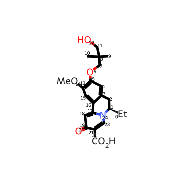 CC[C@@H]1Cc2cc(OCC(C)(C)CO)c(OC)cc2-c2cc(=O)c(C(=O)O)cn21